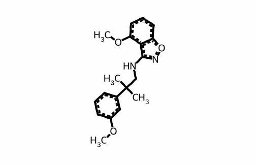 COc1cccc(C(C)(C)CNc2noc3cccc(OC)c23)c1